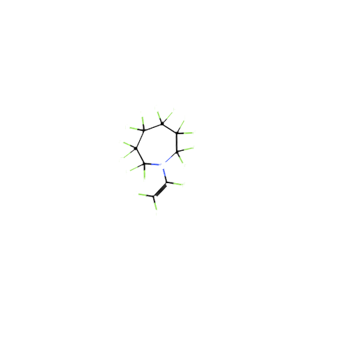 FC(F)=C(F)N1C(F)(F)C(F)(F)C(F)(F)C(F)(F)C(F)(F)C1(F)F